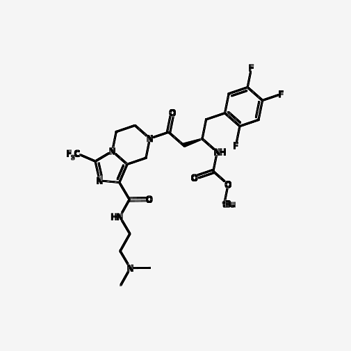 CN(C)CCNC(=O)c1nc(C(F)(F)F)n2c1CN(C(=O)C[C@@H](Cc1cc(F)c(F)cc1F)NC(=O)OC(C)(C)C)CC2